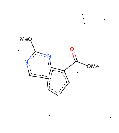 COC(=O)c1cccc2cnc(OC)nc12